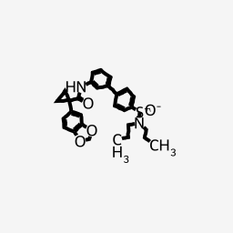 CCCN(CCC)[S+]([O-])c1ccc(-c2cccc(NC(=O)C3(c4ccc5c(c4)OCO5)CC3)c2)cc1